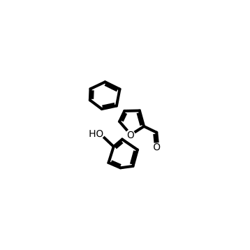 O=Cc1ccco1.Oc1ccccc1.c1ccccc1